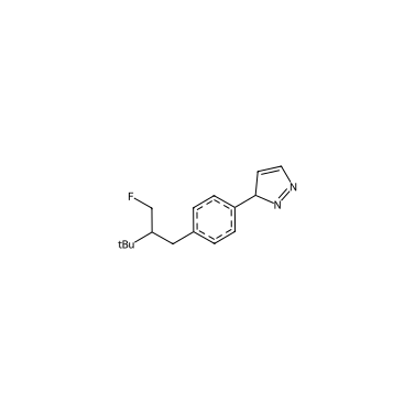 CC(C)(C)C(CF)Cc1ccc(C2C=CN=N2)cc1